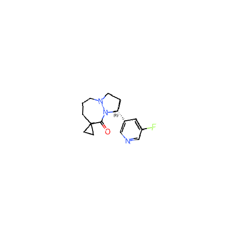 O=C1N2[C@@H](c3cncc(F)c3)CCN2CCCC12CC2